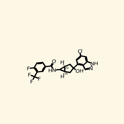 O=C(NC1[C@H]2CC(O)(c3cc(Cl)cc4[nH]ncc34)C[C@@H]12)c1ccc(F)c(C(F)(F)F)c1